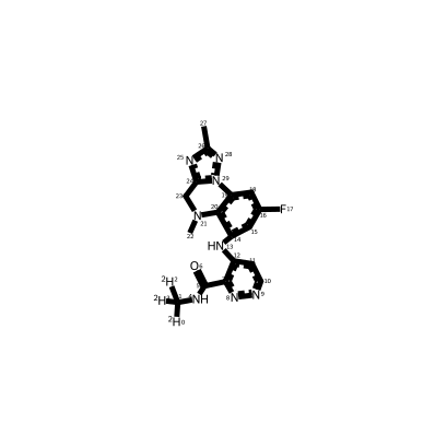 [2H]C([2H])([2H])NC(=O)c1nnccc1Nc1cc(F)cc2c1N(C)Cc1nc(C)nn1-2